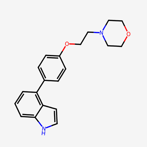 c1cc(-c2ccc(OCCN3CCOCC3)cc2)c2cc[nH]c2c1